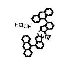 CC1=Cc2c(-c3c4ccccc4cc4ccccc34)cccc2[CH]1[Hf]1([CH]2C(C)=Cc3c(-c4c5ccccc5cc5ccccc45)cccc32)[CH2][CH2]1.Cl.Cl